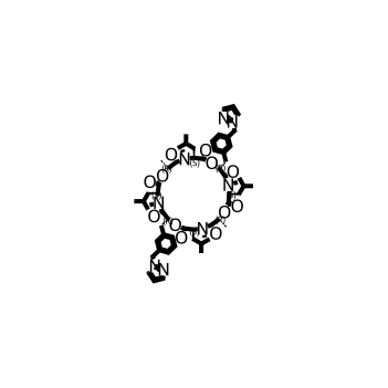 CC(C)C[C@H]1C(=O)O[C@H](Cc2cccc(Cn3cccn3)c2)C(=O)N(C)[C@@H](CC(C)C)C(=O)O[C@H](C)C(=O)N(C)[C@@H](CC(C)C)C(=O)O[C@H](Cc2cccc(Cn3cccn3)c2)C(=O)N(C)[C@@H](CC(C)C)C(=O)O[C@H](C)C(=O)N1C